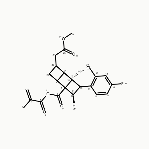 C=C(C)C(=O)OC(=O)C12C3C4[C@H]1C1(c5ccc(F)cc5Cl)[C@H]2C3C41CC(=O)OC